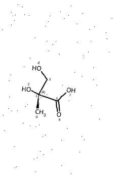 C[C@@](O)(CO)C(=O)O